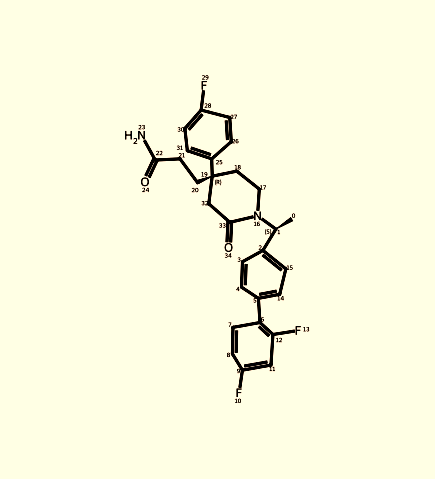 C[C@@H](c1ccc(-c2ccc(F)cc2F)cc1)N1CC[C@@](CCC(N)=O)(c2ccc(F)cc2)CC1=O